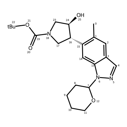 Cc1cc2cnn(C3CCCCO3)c2cc1[C@@H]1CN(C(=O)OC(C)(C)C)C[C@H]1O